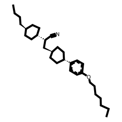 CCCCCCCOc1ccc([C@H]2CC[C@H](CC(C#N)[C@H]3CC[C@H](CCCC)CC3)CC2)cc1